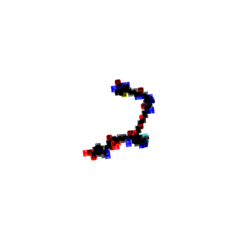 C[C@@H](NC[C@H](O)CP(=O)(O)CCCCCNC(=O)c1ccc(C2(C(F)(F)F)N=N2)cc1OCCOCCOCCNC(=O)Cn1cc(CNC(=O)CCCC[C@@H]2SC[C@@H]3NC(=O)N[C@@H]32)nn1)c1cccc(C(=O)O)c1